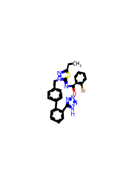 CCc1nn(Cc2ccc(-c3ccccc3-c3nnn[nH]3)cc2)c(=NC(=O)c2ccccc2Br)s1